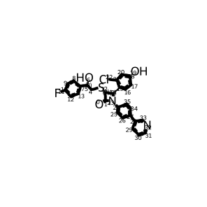 O=C1[C@H](SC[C@H](O)c2ccc(F)cc2)[C@@H](c2ccc(O)cc2Cl)N1c1ccc(-c2cccnc2)cc1